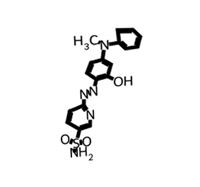 CN(c1ccccc1)c1ccc(/N=N/c2ccc(S(N)(=O)=O)cn2)c(O)c1